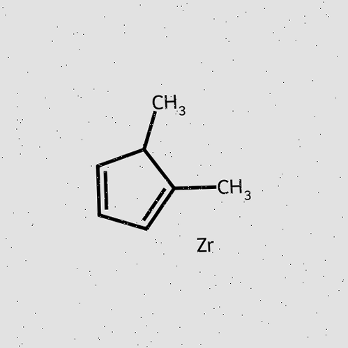 C[C]1C=CC=C1C.[Zr]